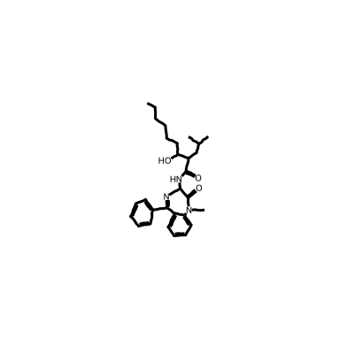 CCCCCCC(O)C(CC(C)C)C(=O)NC1N=C(c2ccccc2)c2ccccc2N(C)C1=O